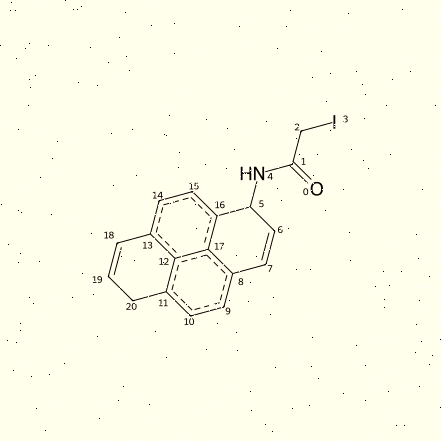 O=C(CI)NC1C=Cc2ccc3c4c(ccc1c24)C=CC3